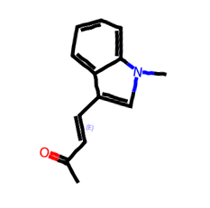 CC(=O)/C=C/c1cn(C)c2ccccc12